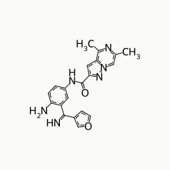 Cc1cn2nc(C(=O)Nc3ccc(N)c(C(=N)c4ccoc4)c3)cc2c(C)n1